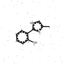 Cc1c[nH]c(-c2ccccc2O)n1